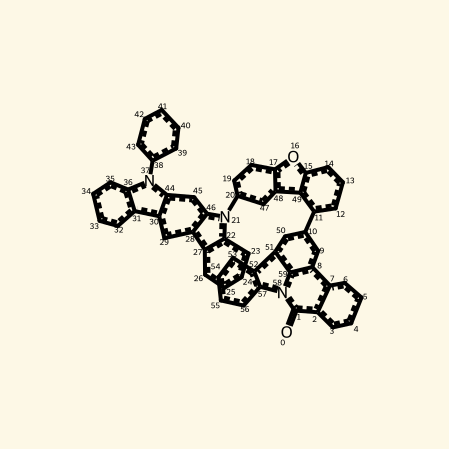 O=c1c2ccccc2c2cc(-c3cccc4oc5ccc(-n6c7ccccc7c7cc8c9ccccc9n(-c9ccccc9)c8cc76)cc5c34)cc3c4ccccc4n1c23